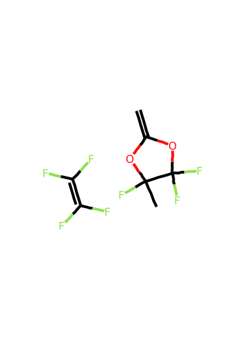 C=C1OC(C)(F)C(F)(F)O1.FC(F)=C(F)F